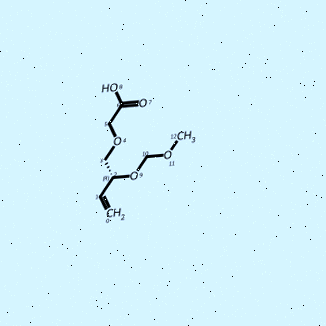 C=C[C@H](COCC(=O)O)OCOC